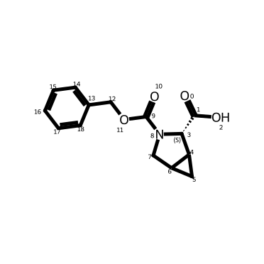 O=C(O)[C@@H]1C2CC2CN1C(=O)OCc1ccccc1